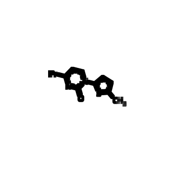 Cc1ccc(-n2ccc(C(C)C)nc2=O)s1